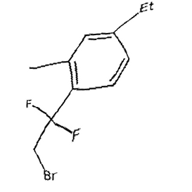 CCc1ccc(C(F)(F)CBr)c(C)c1